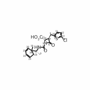 C[C@@H](NC(=O)N1C(=O)[C@H](Cc2ccc(Cl)s2)[C@H]1C(=O)O)C1(C)C=CC=CC1